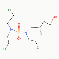 O=P(O)(N(CCCl)CCCl)N(CCCl)CC(Cl)CCO